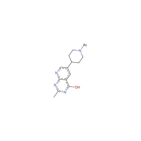 CC(=O)N1CCC(c2cnc3nc(C)nc(O)c3c2)CC1